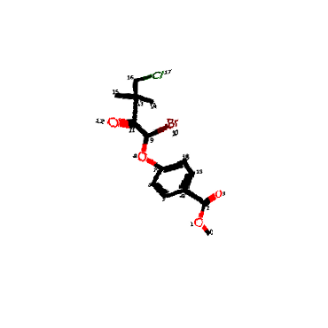 COC(=O)c1ccc(OC(Br)C(=O)C(C)(C)CCl)cc1